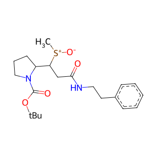 C[S+]([O-])C(CC(=O)NCCc1ccccc1)C1CCCN1C(=O)OC(C)(C)C